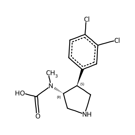 CN(C(=O)O)[C@H]1CNC[C@@H]1c1ccc(Cl)c(Cl)c1